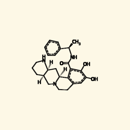 C[C@@H](NC(=O)c1c(O)c(O)cc2c1[C@@H]1C[C@@H]3NCCC[C@@H]3CN1CC2)c1ccccc1